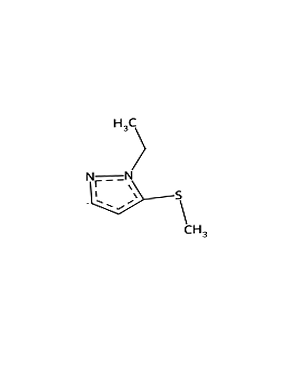 CCn1n[c]cc1SC